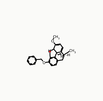 COC1=CC=C2[C@H]3Cc4ccc(OCc5ccccc5)c5c4[C@@]2(CCN3C)[C@H]1O5